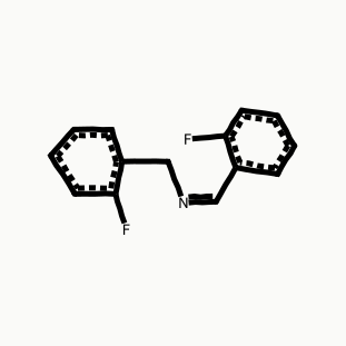 Fc1ccccc1/C=N\Cc1ccccc1F